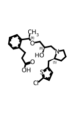 C[C@@H](OC[C@H](O)CN1CCC[C@H]1Cc1ccc(Cl)s1)c1ccccc1CCC(=O)O